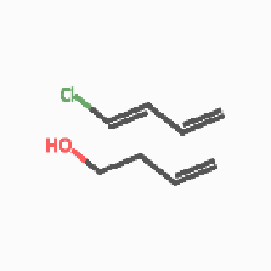 C=CC=CCl.C=CCCO